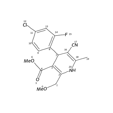 COCC1=C(C(=O)OC)C(c2ccc(Cl)cc2F)C(C#N)=C(C)N1